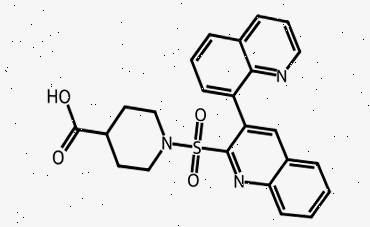 O=C(O)C1CCN(S(=O)(=O)c2nc3ccccc3cc2-c2cccc3cccnc23)CC1